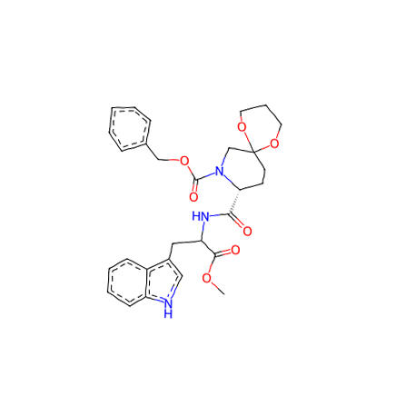 COC(=O)C(Cc1c[nH]c2ccccc12)NC(=O)[C@H]1CCC2(CN1C(=O)OCc1ccccc1)OCCCO2